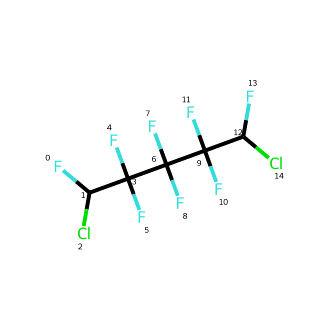 FC(Cl)C(F)(F)C(F)(F)C(F)(F)C(F)Cl